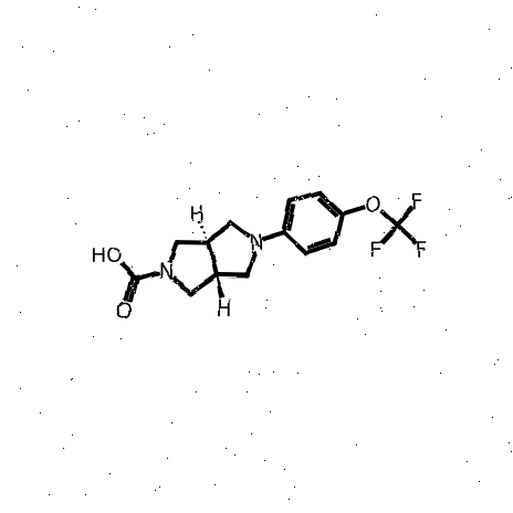 O=C(O)N1C[C@H]2CN(c3ccc(OC(F)(F)F)cc3)C[C@@H]2C1